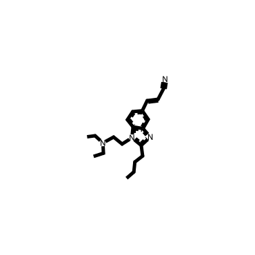 CCCCc1nc2cc(C=CC#N)ccc2n1CCN(CC)CC